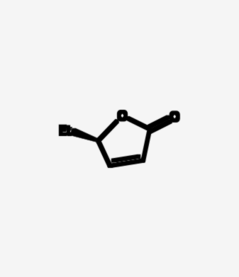 CC[C@@H]1C=CC(=O)O1